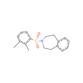 Cc1cccc(S(=O)(=O)N2CCc3ccccc3CC2)c1C